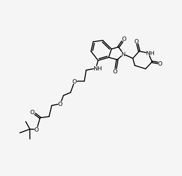 CC(C)(C)OC(=O)CCOCCOCCNc1cccc2c1C(=O)N(C1CCC(=O)NC1=O)C2=O